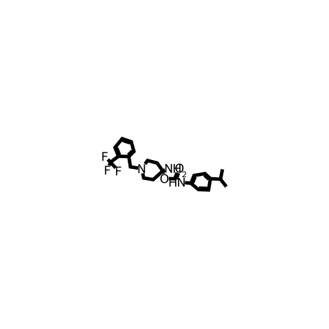 CC(C)c1ccc(NC(=O)OC2(N)CCN(Cc3ccccc3C(F)(F)F)CC2)cc1